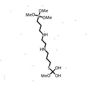 COC(O)(O)SCCCNCCNCCC[Si](OC)(OC)OC